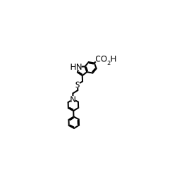 O=C(O)c1ccc2c(CSCCN3CC=C(c4ccccc4)CC3)c[nH]c2c1